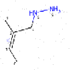 C/C=C(/C)CNN